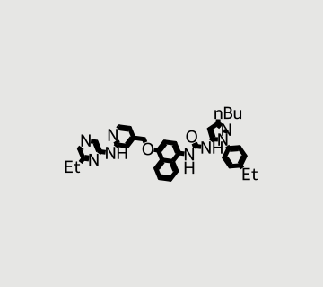 CCCCc1cc(NC(=O)Nc2ccc(OCc3ccnc(Nc4cncc(CC)n4)c3)c3ccccc23)n(-c2ccc(CC)cc2)n1